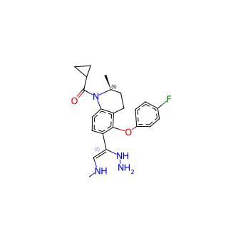 CN/C=C(\NN)c1ccc2c(c1Oc1ccc(F)cc1)CC[C@H](C)N2C(=O)C1CC1